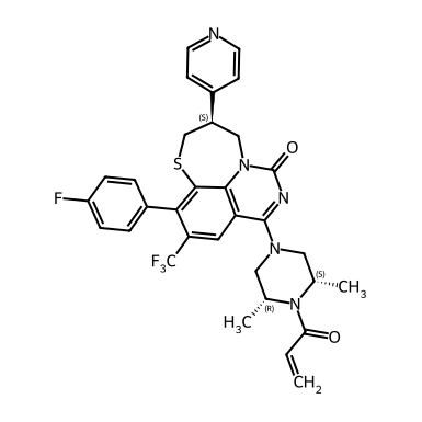 C=CC(=O)N1[C@H](C)CN(c2nc(=O)n3c4c(c(-c5ccc(F)cc5)c(C(F)(F)F)cc24)SC[C@@H](c2ccncc2)C3)C[C@@H]1C